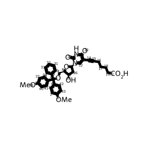 COc1ccc(C(OC[C@H]2O[C@@H](n3cc(C#CCCCCC(=O)O)c(=O)[nH]c3=O)C[C@H]2O)(c2ccccc2)c2ccc(OC)cc2)cc1